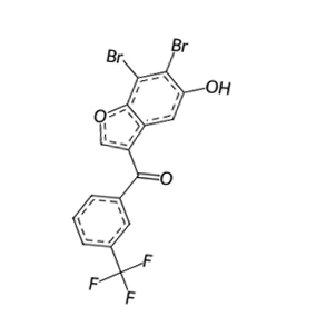 O=C(c1cccc(C(F)(F)F)c1)c1coc2c(Br)c(Br)c(O)cc12